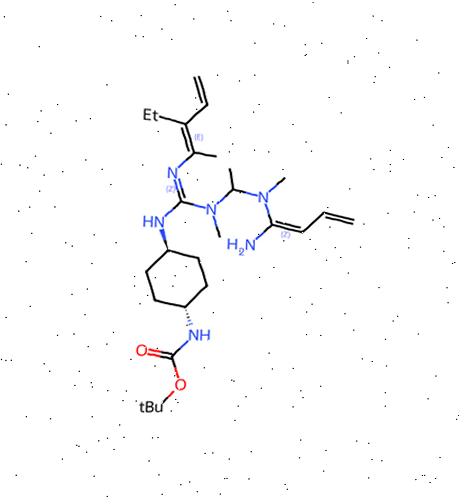 C=C/C=C(/N)N(C)C(C)N(C)/C(=N\C(C)=C(\C=C)CC)N[C@H]1CC[C@H](NC(=O)OC(C)(C)C)CC1